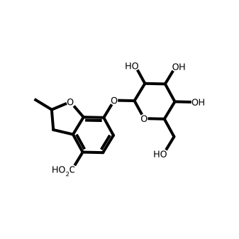 CC1Cc2c(C(=O)O)ccc(OC3OC(CO)C(O)C(O)C3O)c2O1